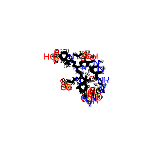 CN(C(=O)c1ccc(C(=C\C=C2\N(CCCS(=O)(=O)O)c3ccc(S(=O)(=O)O)cc3C2(C)C)/C=C/C2=[N+](CCCS(=O)(=O)[O-])c3ccc(S(=O)(=O)O)cc3C2(C)C)nc1)c1ccc(C(=O)Nc2nnc(S(N)(=O)=O)s2)cn1